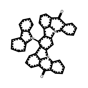 O=c1c2ccccc2n2c3cc4c(c(-n5c6ccccc6c6ccccc65)c3c3cccc1c32)c1cccc2c(=O)c3ccccc3n4c21